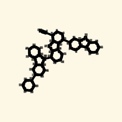 N#Cc1ccc(-c2ccc3c(c2)oc2ccccc23)c2c1sc1c(-n3c4ccccc4c4cc(-c5ccccc5)ccc43)cccc12